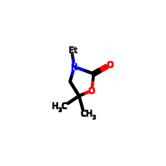 CCN1CC(C)(C)OC1=O